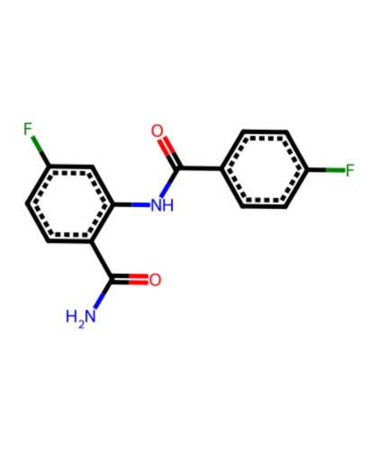 NC(=O)c1ccc(F)cc1NC(=O)c1ccc(F)cc1